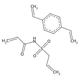 C=CCS(=O)(=O)NC(=O)C=C.C=Cc1ccc(C=C)cc1